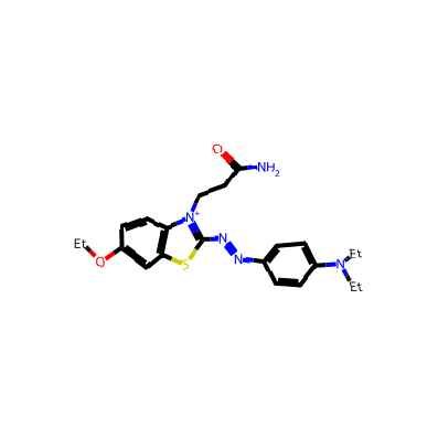 CCOc1ccc2c(c1)sc(N=Nc1ccc(N(CC)CC)cc1)[n+]2CCC(N)=O